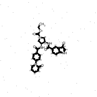 CCOC(=O)N1C[C@H](NC(=O)c2ccc(-n3ccccc3=O)cc2)[C@H](NC(=O)c2ccc3[nH]cc(Cl)c3c2)C1